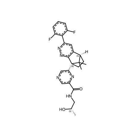 C[C@H](O)CNC(=O)c1cncc([C@]23CC[C@H](c4cc(-c5c(F)cccc5F)nnc42)C3(C)C)n1